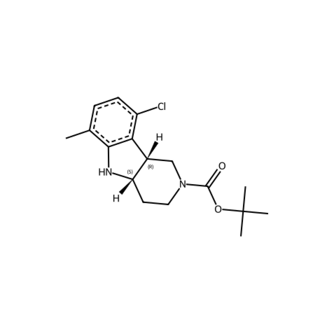 Cc1ccc(Cl)c2c1N[C@H]1CCN(C(=O)OC(C)(C)C)C[C@@H]21